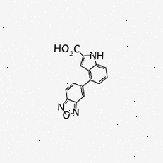 O=C(O)c1cc2c(-c3ccc4nonc4c3)cccc2[nH]1